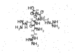 N=C(N)NCCC[C@H](NC(=O)[C@H](CCCNC(=N)N)NC(=O)[C@@H](N)CCCNC(=N)N)C(=O)NCC(=O)O